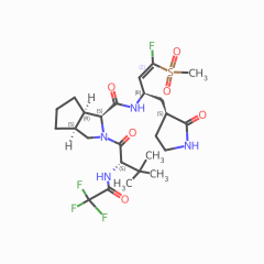 CC(C)(C)[C@H](NC(=O)C(F)(F)F)C(=O)N1C[C@H]2CCC[C@H]2[C@H]1C(=O)N[C@@H](/C=C(/F)S(C)(=O)=O)C[C@@H]1CCNC1=O